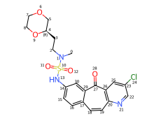 CN(CC[C@@H]1COCCO1)S(=O)(=O)Nc1ccc2ccc3ncc(Cl)cc3c(=O)c2c1